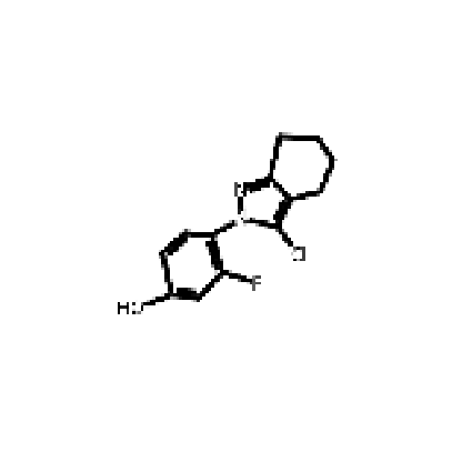 Oc1ccc(-n2nc3c(c2Cl)CCCC3)c(F)c1